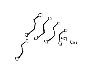 Cl.Cl.ClCCCl.ClCCCl.ClCCCl.ClCCCl.ClCCl